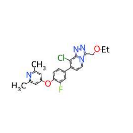 CCOCc1nnc2c(Cl)c(-c3ccc(Oc4cc(C)nc(C)c4)c(F)c3)ccn12